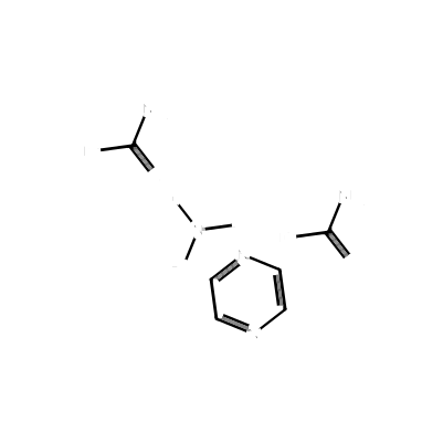 CCN(CC)CC.NC(O)=S.NC(O)=S.c1cnccn1